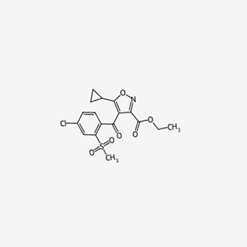 CCOC(=O)c1noc(C2CC2)c1C(=O)c1ccc(Cl)cc1S(C)(=O)=O